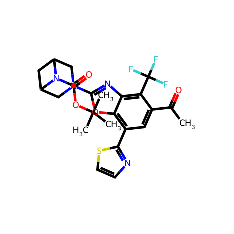 CC(=O)c1cc(-c2nccs2)c2oc(N3CC4CC(C3)N4C(=O)OC(C)(C)C)nc2c1C(F)(F)F